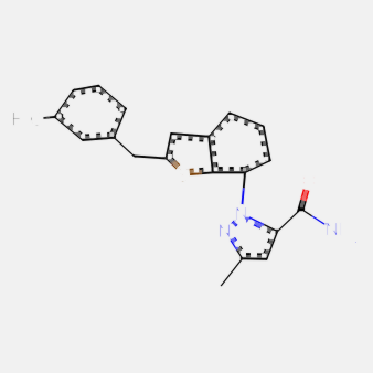 Cc1cc(C(N)=O)n(-c2cccc3cc(Cc4cccc(C(F)(F)F)c4)sc23)n1